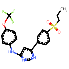 CCCS(=O)(=O)c1ccc(-c2cc(Nc3ccc(OC(F)(F)F)cc3)ncn2)cc1